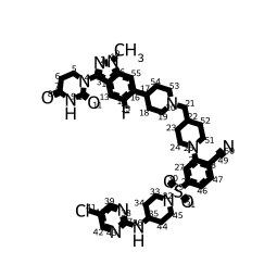 Cn1nc(N2CCC(=O)NC2=O)c2cc(F)c(C3CCN(CC4CCN(c5cc(S(=O)(=O)N6CCC(Nc7ncc(Cl)cn7)CC6)ccc5C#N)CC4)CC3)cc21